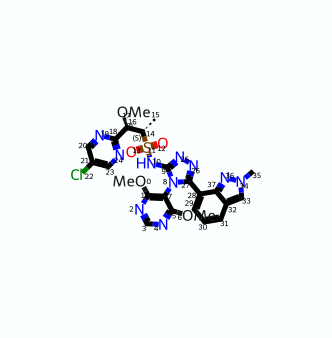 COc1ncnc(OC)c1-n1c(NS(=O)(=O)[C@@H](C)[C@H](OC)c2ncc(Cl)cn2)nnc1-c1cccc2cn(C)nc12